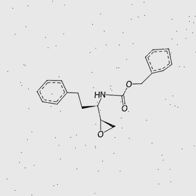 O=C(N[C@H](CCc1ccccc1)[C@H]1CO1)OCc1ccccc1